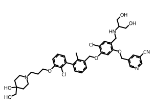 Cc1c(COc2cc(OCc3cncc(C#N)c3)c(CNC(CO)CO)cc2Cl)cccc1-c1cccc(OCCCN2CCC(O)(CO)CC2)c1Cl